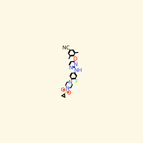 Cc1cc(C#N)cc(C)c1Oc1ccnc(Nc2ccc(N3CCN(S(=O)(=O)C4CC4)CC3)c(F)c2)n1